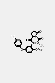 COc1ccc(Oc2ccc(C(F)(F)F)cc2)cc1NC(=O)C1CCC(=O)N1C(=O)OC(C)(C)C